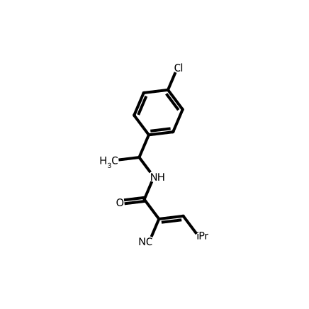 CC(C)C=C(C#N)C(=O)NC(C)c1ccc(Cl)cc1